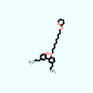 C=CCc1ccc(O)c(-c2cc(CC=C)ccc2OCCCCCCCCCCOC2CCCCO2)c1